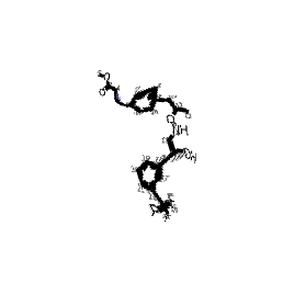 COC(=O)/C=C/c1ccc(CC(C)ONCC(O)c2cccc(C(F)(F)F)c2)cc1